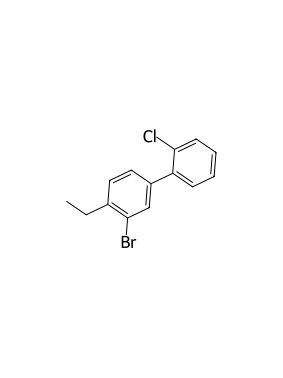 CCc1ccc(-c2ccccc2Cl)cc1Br